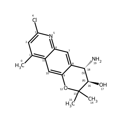 Cc1cc(Cl)nc2cc3c(cc12)OC(C)(C)[C@H](O)[C@H]3N